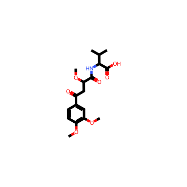 COc1ccc(C(=O)CC(OC)C(=O)NC(C(=O)O)C(C)C)cc1OC